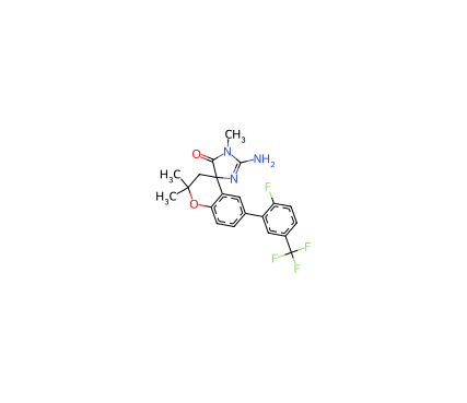 CN1C(=O)C2(CC(C)(C)Oc3ccc(-c4cc(C(F)(F)F)ccc4F)cc32)N=C1N